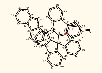 C=C/C=C\C1=C(N(c2ccccc2-c2ccccc2)c2cccc3c2oc2ccccc23)C2(c3ccccc31)c1ccccc1-c1ccccc12